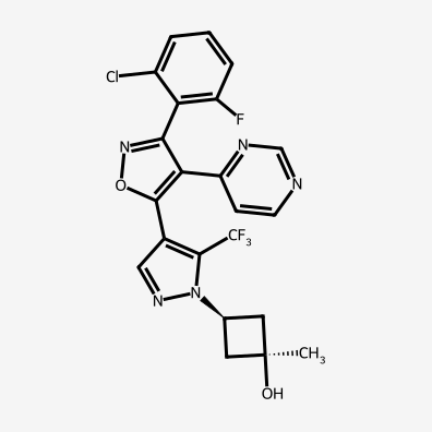 C[C@]1(O)C[C@@H](n2ncc(-c3onc(-c4c(F)cccc4Cl)c3-c3ccncn3)c2C(F)(F)F)C1